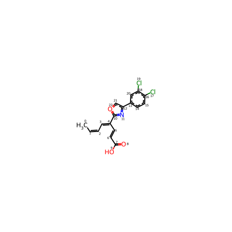 C\C=C/C=C(\C=C\C(=O)O)c1nc(-c2ccc(Cl)c(Cl)c2)co1